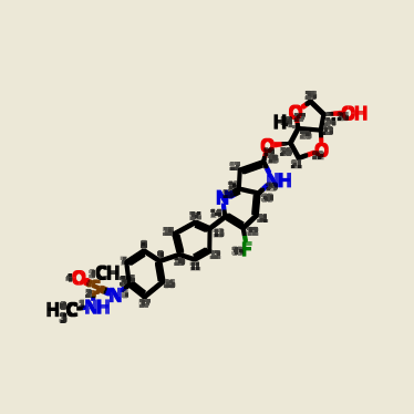 CNS(C)(=O)=Nc1ccc(-c2ccc(-c3nc4cc(O[C@@H]5COC6[C@H](O)CO[C@@H]65)[nH]c4cc3F)cc2)cc1